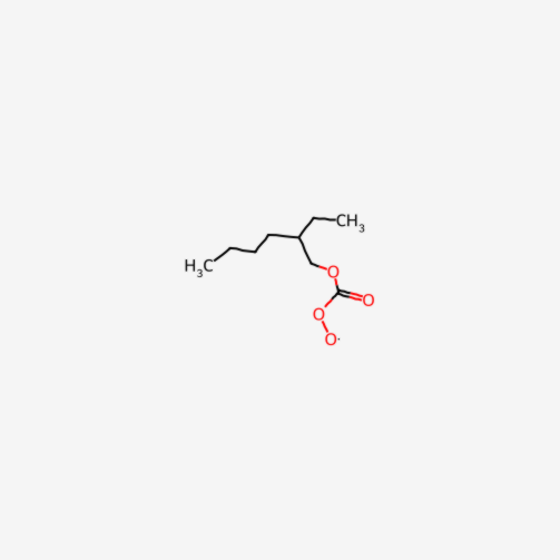 CCCCC(CC)COC(=O)O[O]